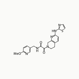 COc1ccc(CNC(=O)C(=O)N2CCc3ccc(Nc4nccs4)nc3C2)cn1